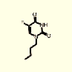 CCCCn1cc(F)c(=O)[nH]c1=O